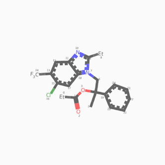 CCC(=O)OC(C)(Cn1c(CC)nc2cc(C(F)(F)F)c(Cl)cc21)c1ccccc1